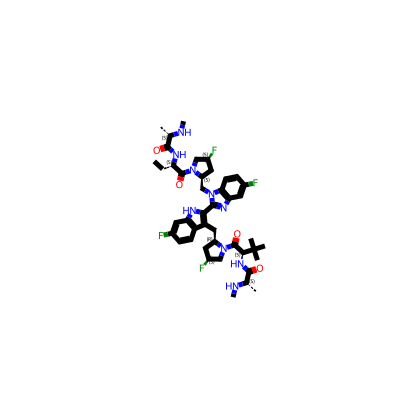 CC[C@H](NC(=O)[C@H](C)NC)C(=O)N1C[C@@H](F)C[C@H]1Cn1c(-c2[nH]c3cc(F)ccc3c2C[C@@H]2C[C@H](F)CN2C(=O)[C@@H](NC(=O)[C@H](C)NC)C(C)(C)C)nc2cc(F)ccc21